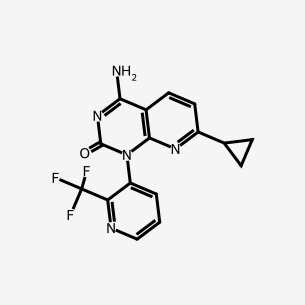 Nc1nc(=O)n(-c2cccnc2C(F)(F)F)c2nc(C3CC3)ccc12